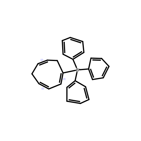 C1=C\C/C=C\C\C([B-](c2ccccc2)(c2ccccc2)c2ccccc2)=C/1